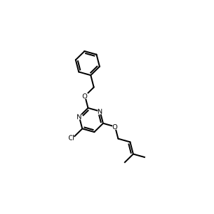 CC(C)=CCOc1cc(Cl)nc(OCc2ccccc2)n1